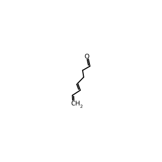 C=CC=CCCC=O